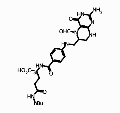 CCCCNC(=O)CC[C@H](NC(=O)c1ccc(NCC2CNc3nc(N)[nH]c(=O)c3N2C=O)cc1)C(=O)O